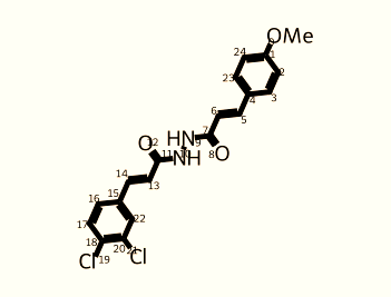 COc1ccc(/C=C/C(=O)NNC(=O)/C=C/c2ccc(Cl)c(Cl)c2)cc1